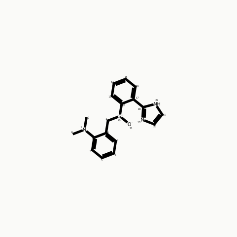 CN(C)c1ccccc1C[S+]([O-])c1ccccc1-c1ncc[nH]1